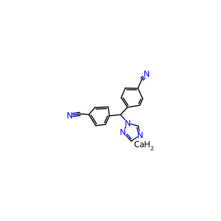 N#Cc1ccc(C(c2ccc(C#N)cc2)n2cncn2)cc1.[CaH2]